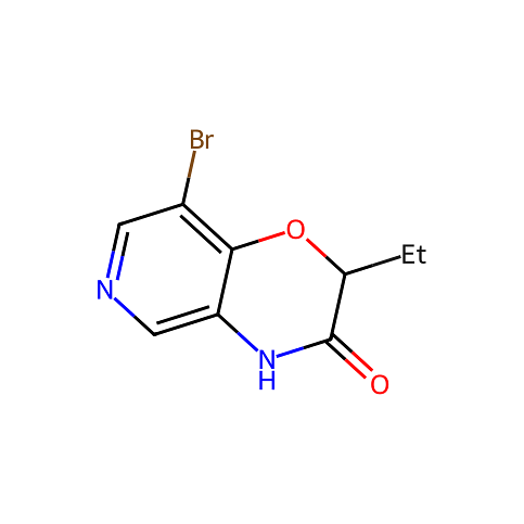 CCC1Oc2c(Br)cncc2NC1=O